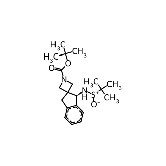 CC(C)(C)OC(=O)N1CC2(Cc3ccccc3[C@@H]2N[S+]([O-])C(C)(C)C)C1